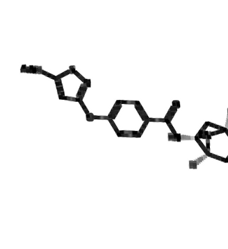 CC(=O)Nc1cc(Oc2ccc(C(=O)N[C@@H]3C[C@H]4CC[C@@H]3N4)cc2)ns1